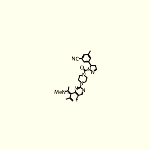 C=C(C)/C(=C(/C)NC)c1nc(N2CCN(C(=O)N3N=CCC3c3cc(C)cc(C#N)c3)CC2)ncc1F